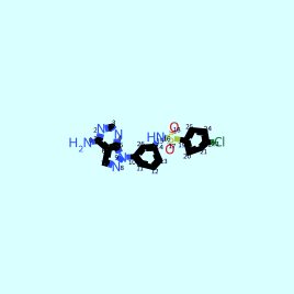 Nc1ncnc2c1cnn2-c1cccc(NS(=O)(=O)c2ccc(Cl)cc2)c1